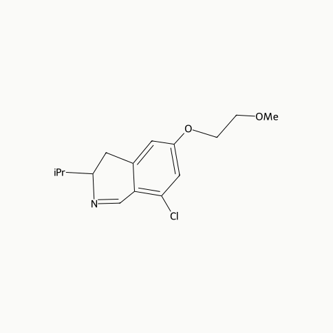 COCCOc1cc(Cl)c2c(c1)CC(C(C)C)N=C2